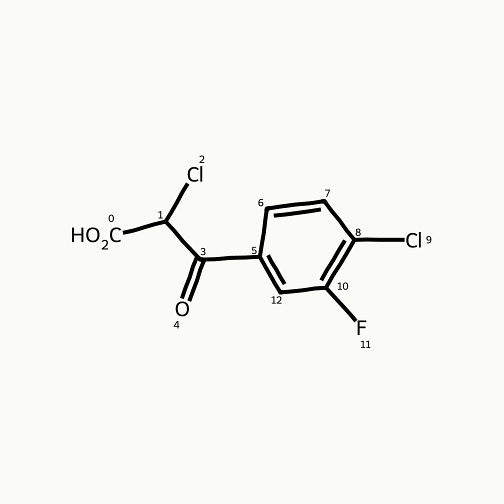 O=C(O)C(Cl)C(=O)c1ccc(Cl)c(F)c1